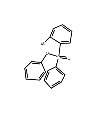 CCc1ccccc1P(=O)(Oc1ccccc1)c1ccccc1